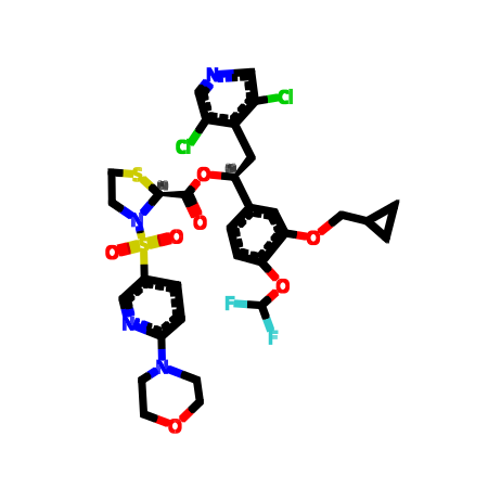 O=C(O[C@@H](Cc1c(Cl)cncc1Cl)c1ccc(OC(F)F)c(OCC2CC2)c1)[C@@H]1SCCN1S(=O)(=O)c1ccc(N2CCOCC2)nc1